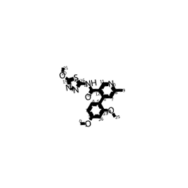 COc1ccc(-c2cc(C)ncc2C(=O)Nc2nnc(OC)s2)c(OC)c1